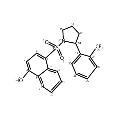 O=S(=O)(c1ccc(O)c2ncccc12)N1CCCC1c1ccccc1C(F)(F)F